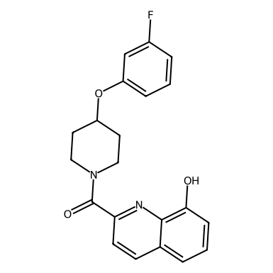 O=C(c1ccc2cccc(O)c2n1)N1CCC(Oc2cccc(F)c2)CC1